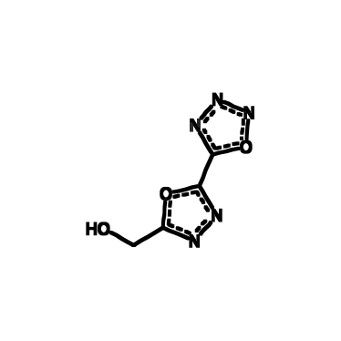 OCc1nnc(-c2nnno2)o1